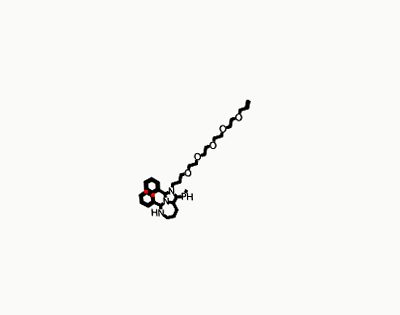 C=CCOCCOCCOCCOCCOCCCN1C(PC)C2CCCNC(c3ccccc3)N2C1c1ccccc1